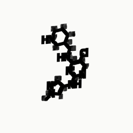 Cn1cc(Nc2ncc(Cl)c(NCC3CCCNC3)n2)cn1